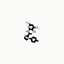 CC(Nc1nc(C(F)(F)F)cc(C(F)(F)F)c1C#N)c1nccn1-c1ccc(F)cc1